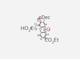 CCCCCCCCCCOc1ccc(C(=O)c2cccc(C(=O)OCC)c2)cc1CCC(=O)O